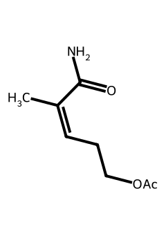 CC(=O)OCCC=C(C)C(N)=O